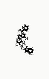 CC(C)CC(NC(=O)Oc1cc2ccccc2s1)C(=O)N1CCC2C1C(=O)CN2C(=O)c1ccccn1